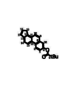 CC(C)(C)C(=O)Oc1ccc2c(ccc3c4c(ccc32)C=CC4)c1